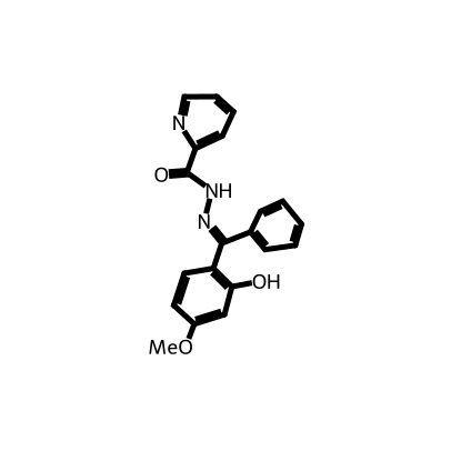 COc1ccc(C(=NNC(=O)c2ccccn2)c2ccccc2)c(O)c1